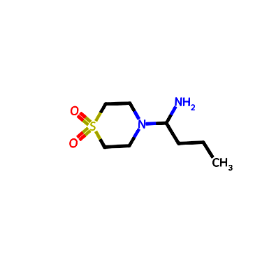 CCCC(N)N1CCS(=O)(=O)CC1